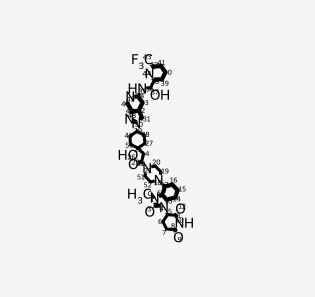 Cn1c(=O)n(C2CCC(=O)NC2=O)c2cccc(N3CCN(C(=O)C[C@]4(O)CC[C@@H](n5cc6cc(NC(O)c7cccc(C(F)(F)F)n7)ncc6n5)CC4)CC3)c21